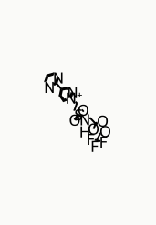 O=C(CNS(=O)(=O)CC[n+]1ccc(-c2ncccn2)cn1)OC(=O)C(F)(F)F